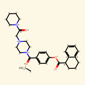 CS(=O)(=O)O.O=C(Oc1ccc(C(=O)N2CCN(CC(=O)N3CCCCC3)CC2)cc1)C1CCCc2ccccc21